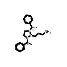 C[C@@H](c1ccccc1)N1CCN([C@@H](C)c2ccccc2)P1CCCN